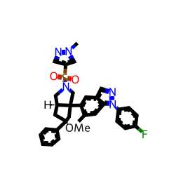 CO[C@]1(c2ccccc2)C[C@H]2CN(S(=O)(=O)c3cnn(C)c3)CC2(c2cc3cnn(-c4ccc(F)cc4)c3cc2C)C1